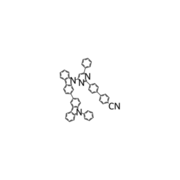 N#Cc1ccc(-c2ccc(-c3nc(-c4ccccc4)cc(-n4c5ccccc5c5ccc(-c6ccc7c(c6)c6ccccc6n7-c6ccccc6)cc54)n3)cc2)cc1